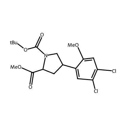 COC(=O)C1CC(c2cc(Cl)c(Cl)cc2OC)CN1C(=O)OC(C)(C)C